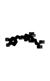 NC(CCCCB(O)O)(CCCNCc1ccc(Cl)c(Cl)c1)C(=O)O